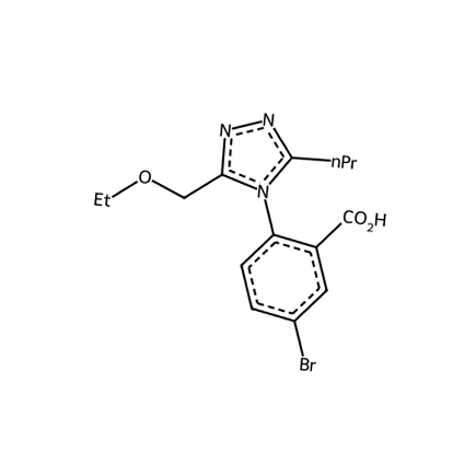 CCCc1nnc(COCC)n1-c1ccc(Br)cc1C(=O)O